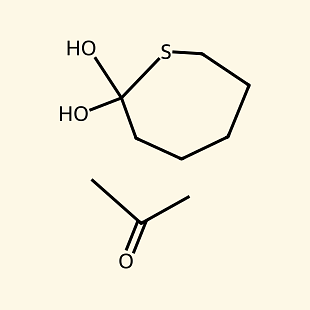 CC(C)=O.OC1(O)CCCCCS1